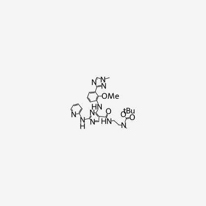 COc1c(Nc2nc(Nc3ccccn3)ncc2C(=O)NCCN(C)C(=O)OC(C)(C)C)cccc1-c1ncn(C)n1